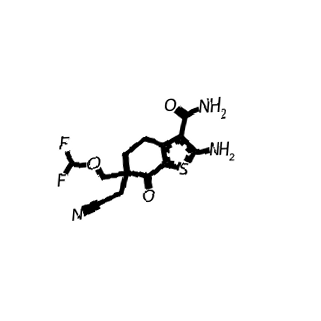 N#CCC1(COC(F)F)CCc2c(sc(N)c2C(N)=O)C1=O